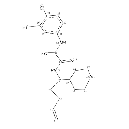 C=CCCC(NC(=O)C(=O)Nc1ccc(Cl)c(F)c1)C1CCNCC1